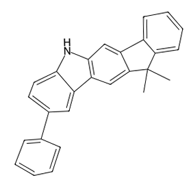 CC1(C)c2ccccc2-c2cc3[nH]c4ccc(-c5ccccc5)cc4c3cc21